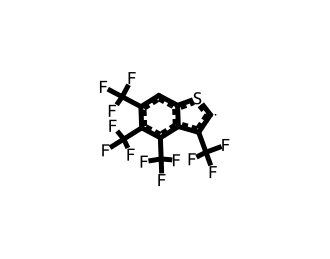 FC(F)(F)c1cc2s[c]c(C(F)(F)F)c2c(C(F)(F)F)c1C(F)(F)F